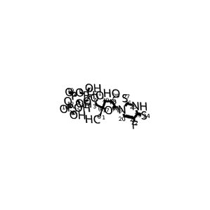 C#C[C@]1(COP(=O)(O)OP(=O)(O)OP(=O)(O)O)O[C@@H](n2cc(F)c(=S)[nH]c2=S)[C@@H](O)C1O